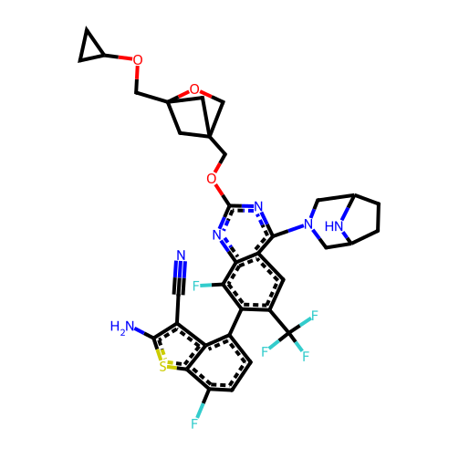 N#Cc1c(N)sc2c(F)ccc(-c3c(C(F)(F)F)cc4c(N5CC6CCC(C5)N6)nc(OCC56COC(COC7CC7)(C5)C6)nc4c3F)c12